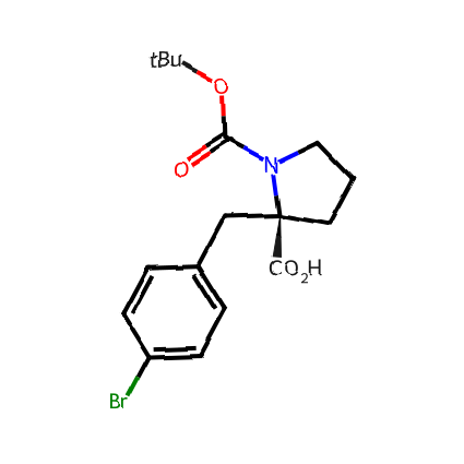 CC(C)(C)OC(=O)N1CCC[C@@]1(Cc1ccc(Br)cc1)C(=O)O